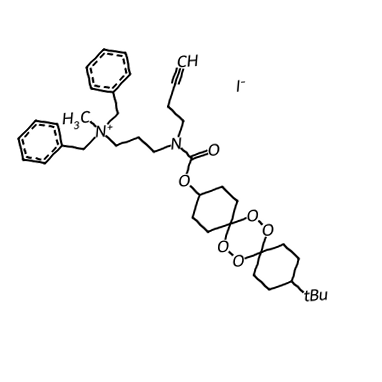 C#CCCN(CCC[N+](C)(Cc1ccccc1)Cc1ccccc1)C(=O)OC1CCC2(CC1)OOC1(CCC(C(C)(C)C)CC1)OO2.[I-]